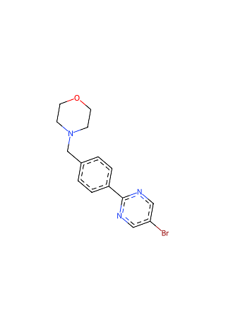 Brc1cnc(-c2ccc(CN3CCOCC3)cc2)nc1